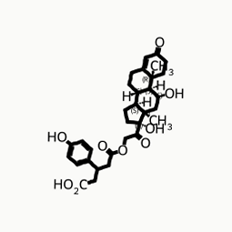 C[C@]12CCC(=O)C=C1CC[C@@H]1[C@@H]2[C@@H](O)C[C@@]2(C)[C@H]1CC[C@]2(O)C(=O)COC(=O)CC(CC(=O)O)c1ccc(O)cc1